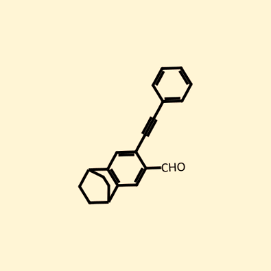 O=Cc1cc2c(cc1C#Cc1ccccc1)C1CCC2CC1